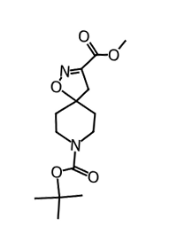 COC(=O)C1=NOC2(CCN(C(=O)OC(C)(C)C)CC2)C1